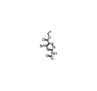 CCOC(=O)c1cnc(NC(C)=O)nc1Br